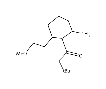 COCCC1CCCC(C)C1C(=O)CC(C)(C)C